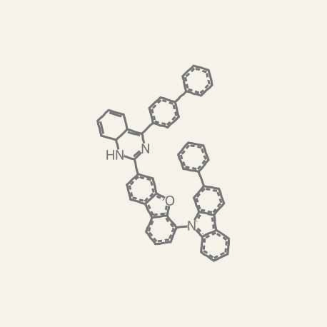 C1=CC2=C(c3ccc(-c4ccccc4)cc3)N=C(c3ccc4c(c3)oc3c(-n5c6ccccc6c6ccc(-c7ccccc7)cc65)cccc34)NC2C=C1